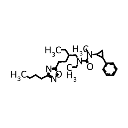 CCCCc1noc(CCC(CC)CN(CC)C(=O)N(C)C2CC2c2ccccc2)n1